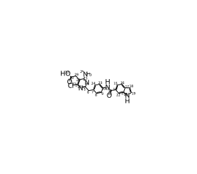 CN(C)c1nc(Cc2ccc(NC(=O)c3ccc4cc[nH]c4c3)cc2)nc(Cl)c1CC(=O)O